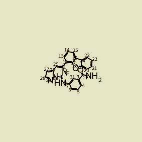 NC(=O)c1cccc(Nc2nc(-c3cccc4c3oc3ccccc34)cc3ccnn23)c1